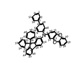 c1ccc(-c2ccc(N(c3ccc4c(c3)Oc3ccccc3O4)c3ccc4c(c3)C(c3ccccc3)(c3ccccc3)c3ccccc3-4)cc2)cc1